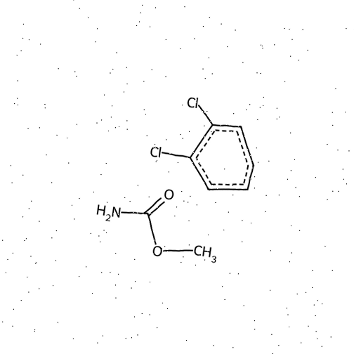 COC(N)=O.Clc1ccccc1Cl